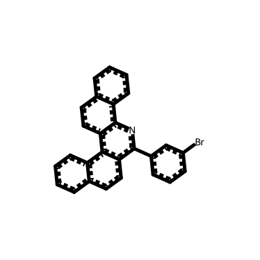 Brc1cccc(-c2nc3c4ccccc4ccc3c3c2ccc2ccccc23)c1